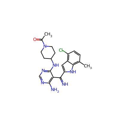 CC(=O)N1CCC(Nc2ncnc(N)c2C(=N)c2cc3c(Cl)ccc(C)c3[nH]2)CC1